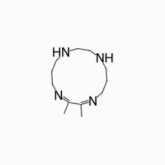 CC1=NCCCNCCNCCCN=C1C